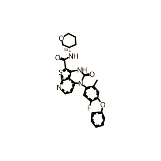 Cc1cc(Oc2ccccc2)c(F)cc1N1C(=O)Nc2c(C(=O)N[C@H]3CCCOC3)sc3nccc1c23